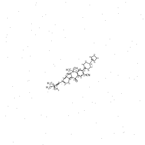 CC1(C)C2=NC3=CC(C#C[Si](C)(C)C)=CCC3=C2C(=O)c2cc(C#N)c(N3CCC(N4CCCC4)CC3)cc21